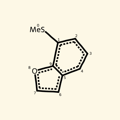 CSc1cccc2ccoc12